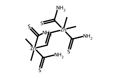 [CH3][Zn]([CH3])([CH]=[CH][Zn]([CH3])([CH3])([C](N)=S)[C](N)=S)([C](N)=S)[C](N)=S